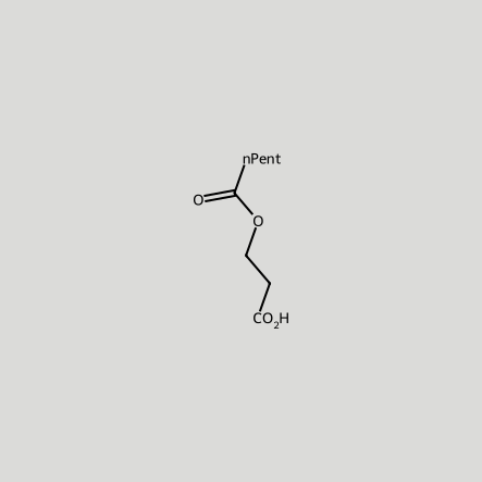 CCCCCC(=O)OCCC(=O)O